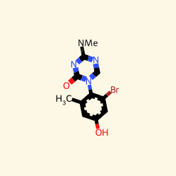 CNc1ncn(-c2c(C)cc(O)cc2Br)c(=O)n1